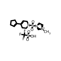 C[n+]1ccn(S(=O)(=O)N2CC=C(C3=CCCC3)CC2)c1.O=S(=O)(O)C(F)(F)F